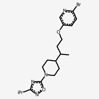 CC(C)c1noc(N2CCC(C(C)CCOc3ccc(Br)nc3)CC2)n1